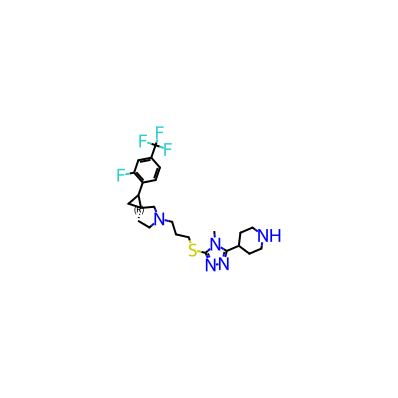 Cn1c(SCCCN2CC[C@@]3(CC3c3ccc(C(F)(F)F)cc3F)C2)nnc1C1CCNCC1